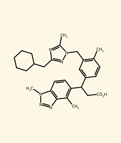 Cc1ccc(C(CC(=O)O)c2ccc3c(nnn3C)c2C)cc1Cn1nc(CC2CCCCC2)nc1C